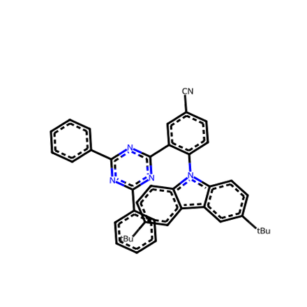 CC(C)(C)c1ccc2c(c1)c1cc(C(C)(C)C)ccc1n2-c1ccc(C#N)cc1-c1nc(-c2ccccc2)nc(-c2ccccc2)n1